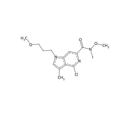 COCCCn1cc(C)c2c(Cl)nc(C(=O)N(I)OC)cc21